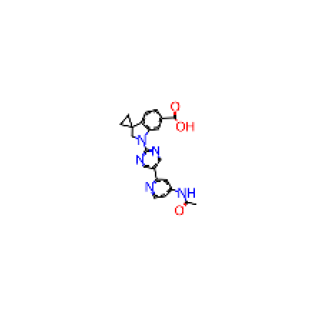 CC(=O)Nc1ccnc(-c2cnc(N3CC4(CC4)c4ccc(C(=O)O)cc43)nc2)c1